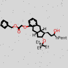 CCCCC[C@H](O)CC[C@@H]1[C@H]2Cc3cccc(OCC(=O)OCc4ccccc4)c3C[C@H]2C[C@H]1O[Si](CC)(CC)CC